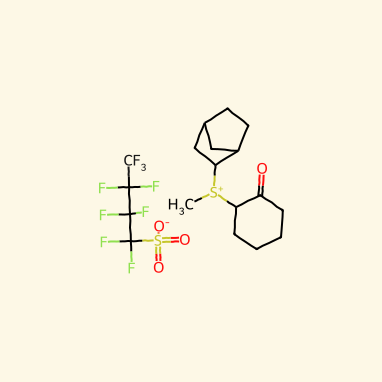 C[S+](C1CCCCC1=O)C1CC2CCC1C2.O=S(=O)([O-])C(F)(F)C(F)(F)C(F)(F)C(F)(F)F